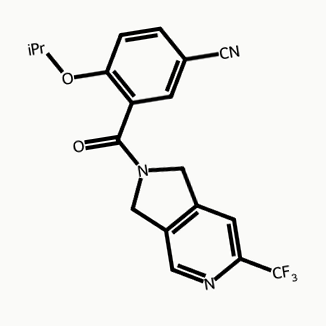 CC(C)Oc1ccc(C#N)cc1C(=O)N1Cc2cnc(C(F)(F)F)cc2C1